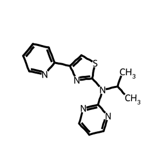 CC(C)N(c1ncccn1)c1nc(-c2ccccn2)cs1